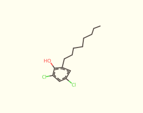 CCCCCCCCc1cc(Cl)cc(Cl)c1O